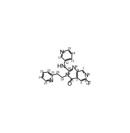 O=c1c2cc(F)ncc2nc(Nc2cccnc2)n1CCc1ccccn1